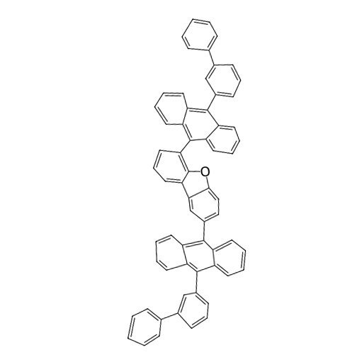 c1ccc(-c2cccc(-c3c4ccccc4c(-c4ccc5oc6c(-c7c8ccccc8c(-c8cccc(-c9ccccc9)c8)c8ccccc78)cccc6c5c4)c4ccccc34)c2)cc1